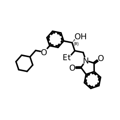 CCC(CN1C(=O)c2ccccc2C1=O)[C@@H](O)c1cccc(OCC2CCCCC2)c1